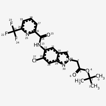 CC(C)(C)OC(=O)Cn1cc2cc(NC(=O)c3cccc(C(F)(F)F)n3)c(Cl)cc2n1